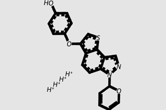 Oc1ccc(Oc2csc3c2ccc2c3cnn2C2C=CC=CO2)cc1.[H+].[H+].[H+].[H+]